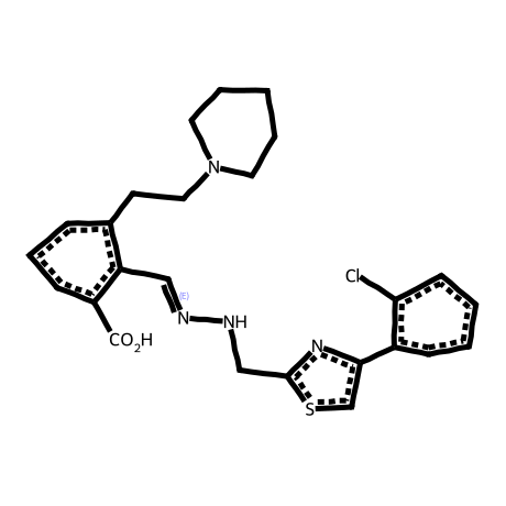 O=C(O)c1cccc(CCN2CCCCC2)c1/C=N/NCc1nc(-c2ccccc2Cl)cs1